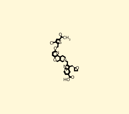 CC(=O)c1cc(Cl)c(COc2ccc3c(n2)C2=C(CO3)CN(Cc3nn4ccc(C(=O)O)cc4c3C[C@@H]3CCO3)CC2)s1